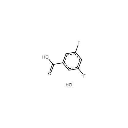 Cl.O=C(O)c1cc(F)cc(F)c1